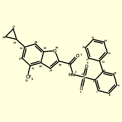 O=C(NS(=O)(=O)c1ccccc1-c1ccccc1)c1cc2c(C(F)(F)F)cc(C3CC3)cc2o1